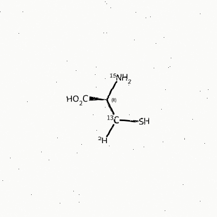 [2H][13CH](S)[C@H]([15NH2])C(=O)O